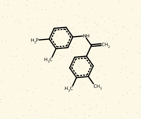 C=C(Nc1ccc(P)c(C)c1)c1ccc(C)c(C)c1